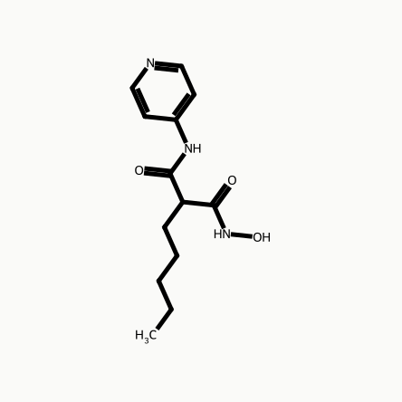 CCCCCC(C(=O)NO)C(=O)Nc1ccncc1